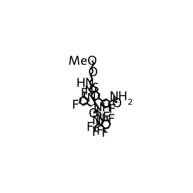 COCCOCCNc1nc2nc([C@H](Cc3cc(F)cc(F)c3)NC(=O)Cn3nc(C(F)F)c4c3C(F)(F)CCC4(F)F)c(-c3ccc(F)c(C(N)=O)c3)cc2s1